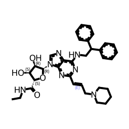 CCNC(=O)[C@H]1O[C@@H](n2cnc3c(NCC(c4ccccc4)c4ccccc4)nc(/C=C/CN4CCCCC4)nc32)[C@H](O)[C@@H]1O